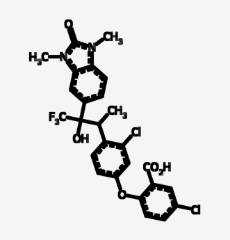 CC(c1ccc(Oc2ccc(Cl)cc2C(=O)O)cc1Cl)C(O)(c1ccc2c(c1)n(C)c(=O)n2C)C(F)(F)F